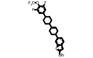 CCCc1cc2ccc(C3CC=C(C4CCC(c5cc(F)c(OC(F)(F)F)c(F)c5)CC4)CC3)cc2s1